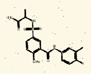 COc1ccc(S(=O)(=O)NC(C)C(N)=O)cc1C(=O)Nc1ccc(F)c(C)c1